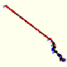 COc1ccc(C(=O)N2CCC3(CCN(CCc4ccc(-c5cc6c(-c7cc(F)cc(NC(=O)c8ccc(C(C)(C)OC(=O)CNC(=O)CCOCCOCCOCCOCCOCCOCCOCCOCCOCCOCCOCCOCCOCCOCCOCCOCCOCCOCCOCCOCCOCCOCCOCCOCCN)cc8F)c7C)ncnc6[nH]5)cc4)CC3)CC2)cc1N1CCC(=O)NC1=O